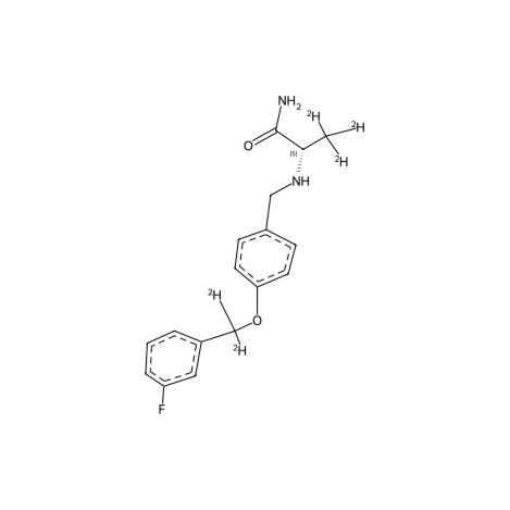 [2H]C([2H])(Oc1ccc(CN[C@H](C(N)=O)C([2H])([2H])[2H])cc1)c1cccc(F)c1